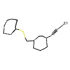 CCC#CC1CCCC(CSC2CCCCC2)C1